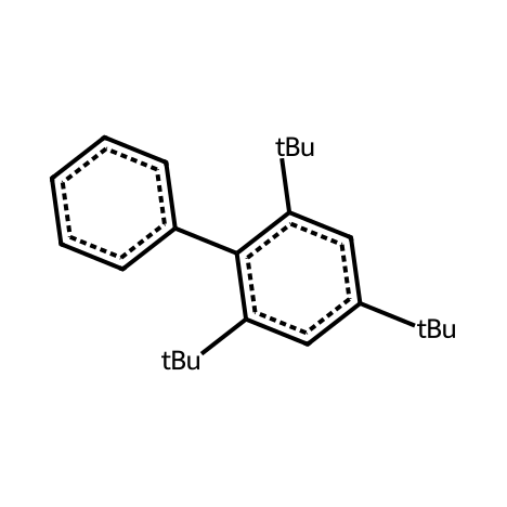 CC(C)(C)c1cc(C(C)(C)C)c(-c2ccccc2)c(C(C)(C)C)c1